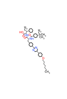 CCCCCCCOc1ccc(-c2cnc(-c3ccc(C[C@H](NC(=O)c4ccc(C(C)(C)C)cc4)C(=O)NC(C(=O)O)C(C)c4ccccc4)cc3)nc2)cc1